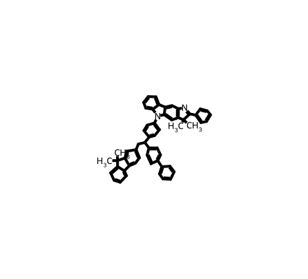 CC1(C)C(c2ccccc2)=Nc2cc3c4ccccc4n(-c4ccc(C(Cc5ccc6c(c5)C(C)(C)c5ccccc5-6)c5ccc(-c6ccccc6)cc5)cc4)c3cc21